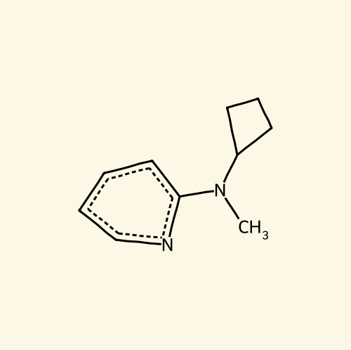 CN(c1ccccn1)C1CCC1